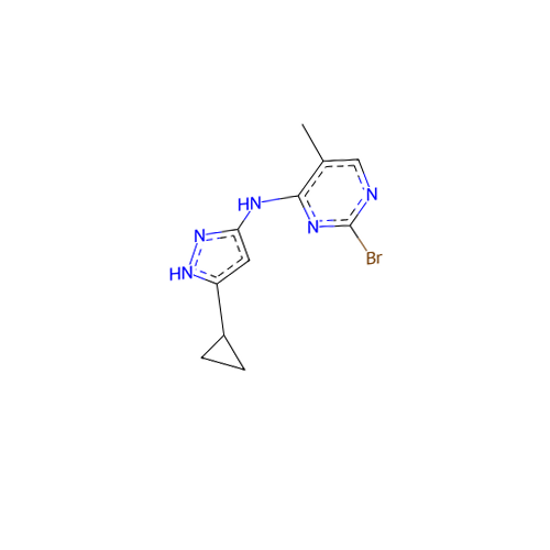 Cc1cnc(Br)nc1Nc1cc(C2CC2)[nH]n1